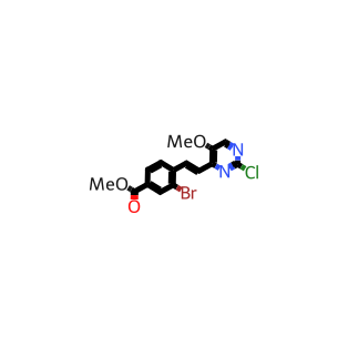 COC(=O)c1ccc(C=Cc2nc(Cl)ncc2OC)c(Br)c1